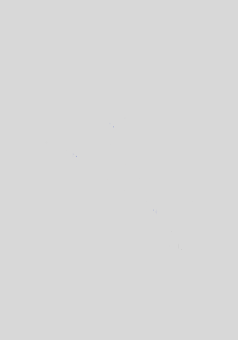 CC1(C)c2ccccc2N(c2ccc(S(=O)(=O)c3cc(-n4c5ccccc5c5ccccc54)cc(-n4c5ccccc5c5ccccc54)c3)cc2)c2ccccc21